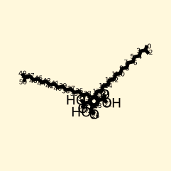 CC(C)CCCCCCCCCCCCCCCc1c(C(=O)O)cc(C(=O)O)c(C(=O)O)c1CCCCCCCCCCCCCCCC(C)C